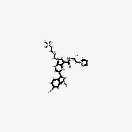 C[C@H](Cn1cccn1)NC(=O)c1cn(COCC[Si](C)(C)C)c2ncc(-c3nn(C)c4cc(F)ccc34)nc12